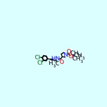 C[C@@H](C#Cc1ccc(Cl)c(Cl)c1)NC(=O)C1CCN(C(=O)OC(C)(C)C)C1